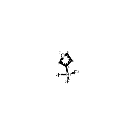 F[B-](F)(F)c1ccoc1